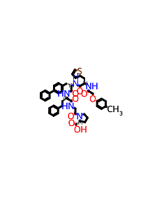 CC1C=CC(OCC(=O)N[C@H](CC2CC=CS2)C(=O)N[C@@H](Cc2ccc(-c3ccccc3)cc2)C(=O)N[C@H](CCc2ccccc2)C(=O)NCC(=O)N2CCC[C@@H]2C(=O)O)=CC1